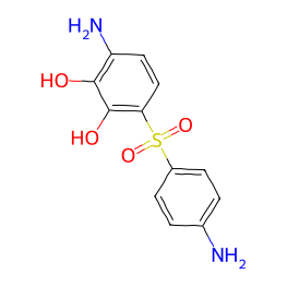 Nc1ccc(S(=O)(=O)c2ccc(N)c(O)c2O)cc1